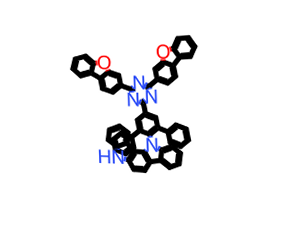 c1ccc(-c2cc(-c3nc(-c4ccc5c(c4)oc4ccccc45)nc(-c4ccc5c(c4)oc4ccccc45)n3)cc(-c3ccccc3)c2-n2c3ccccc3c3ccc4[nH]c5ccccc5c4c32)cc1